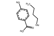 CCCCO.O=C(O)c1ccc(O)cc1